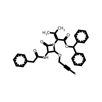 CC(C)=C(C(=O)OC(c1ccccc1)c1ccccc1)N1C(=O)C(NC(=O)Cc2ccccc2)C1OCC#CI